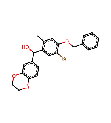 Cc1cc(OCc2ccccc2)c(Br)cc1C(O)c1ccc2c(c1)OCCO2